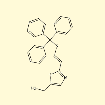 OCc1cnc(C=CSC(c2ccccc2)(c2ccccc2)c2ccccc2)s1